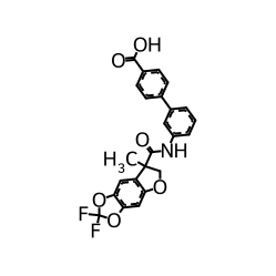 CC1(C(=O)Nc2cccc(-c3ccc(C(=O)O)cc3)c2)COc2cc3c(cc21)OC(F)(F)O3